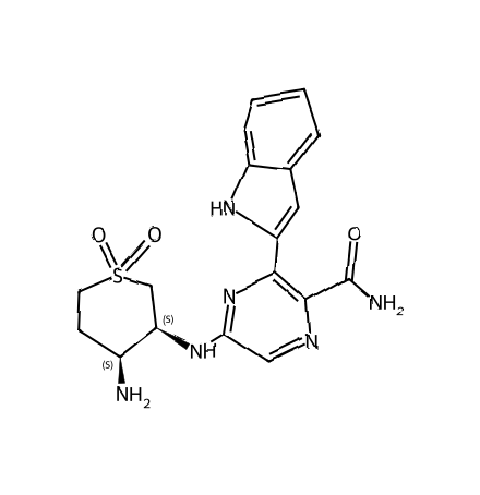 NC(=O)c1ncc(N[C@@H]2CS(=O)(=O)CC[C@@H]2N)nc1-c1cc2ccccc2[nH]1